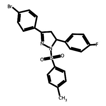 Cc1ccc(S(=O)(=O)N2N=C(c3ccc(Br)cc3)CC2c2ccc(F)cc2)cc1